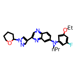 CCCN(c1cc(F)cc(OCC)c1)c1ccc2ncc(-c3cnn(C4CCCCO4)c3)nc2c1